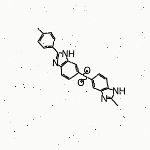 Cc1ccc(-c2nc3ccc(S(=O)(=O)c4ccc5[nH]c(C)nc5c4)cc3[nH]2)cc1